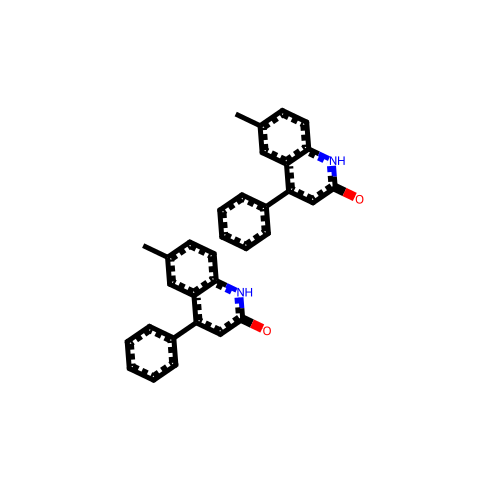 Cc1ccc2[nH]c(=O)cc(-c3ccccc3)c2c1.Cc1ccc2[nH]c(=O)cc(-c3ccccc3)c2c1